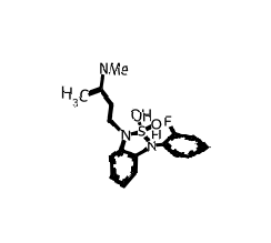 CNC(C)CCN1c2ccccc2N(c2ccccc2F)S1(O)O